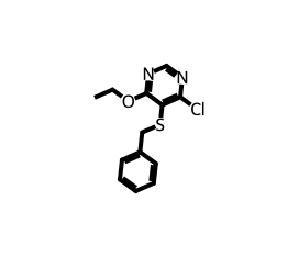 CCOc1ncnc(Cl)c1SCc1ccccc1